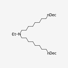 C[CH]N(CCCCCCCCCCCCCCCCCC)CCCCCCCCCCCCCCCCCC